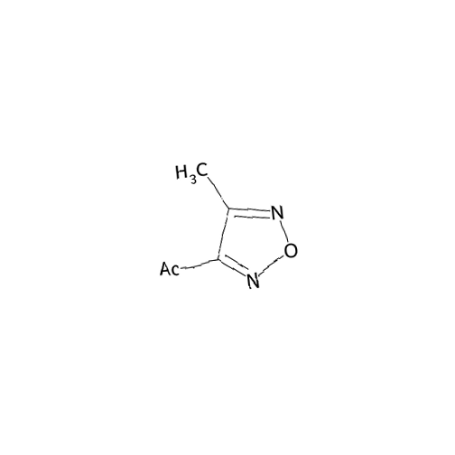 CC(=O)c1nonc1C